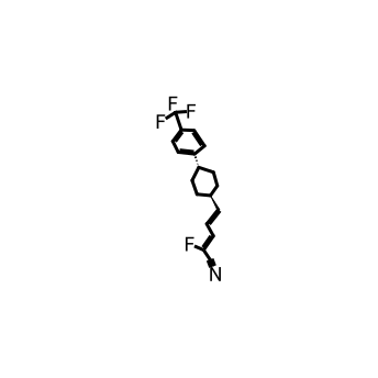 N#CC(F)=CC=C[C@H]1CC[C@H](c2ccc(C(F)(F)F)cc2)CC1